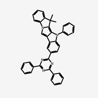 CC1(C)c2ccccc2-n2cc3c4cc(-c5nc(-c6ccccc6)nc(-c6ccccc6)n5)ccc4n(-c4ccccc4)c3c21